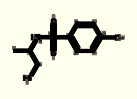 CC(CS)NS(=O)(=O)c1ccc(Cl)cc1